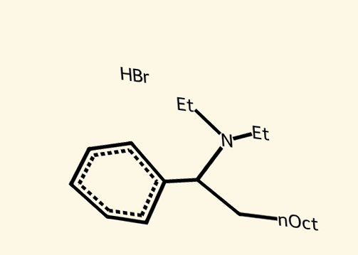 Br.CCCCCCCCCC(c1ccccc1)N(CC)CC